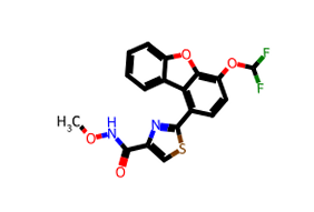 CONC(=O)c1csc(-c2ccc(OC(F)F)c3oc4ccccc4c23)n1